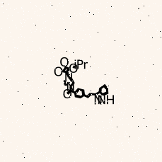 CC(C)Oc1c(N2CCN(C(=O)c3ccc(C=Cc4n[nH]c5ccccc45)cc3)CC2)c(=O)c1=O